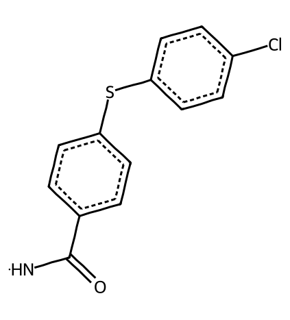 [NH]C(=O)c1ccc(Sc2ccc(Cl)cc2)cc1